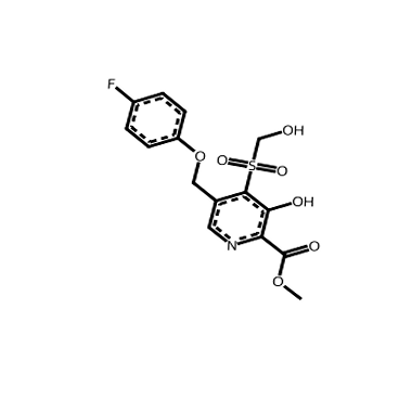 COC(=O)c1ncc(COc2ccc(F)cc2)c(S(=O)(=O)CO)c1O